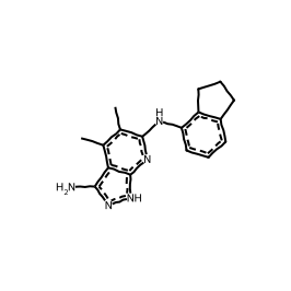 Cc1c(Nc2cccc3c2CCC3)nc2[nH]nc(N)c2c1C